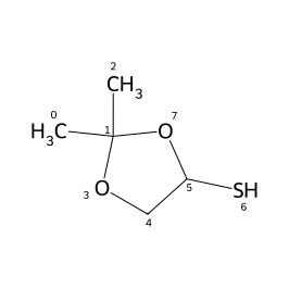 CC1(C)OCC(S)O1